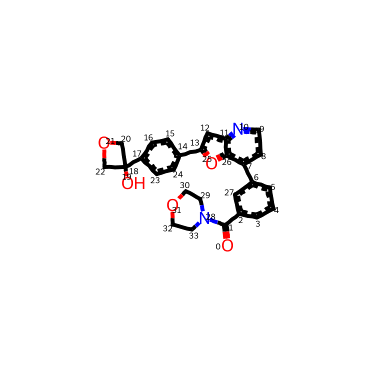 O=C(c1cccc(-c2ccnc3cc(-c4ccc(C5(O)COC5)cc4)oc23)c1)N1CCOCC1